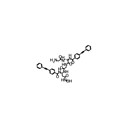 NCC(=O)NC[C@H](NC(=O)c1ccc(C#Cc2ccccc2)cc1)C(=O)NCC(=O)NC(CC(=O)NO)NC(=O)c1ccc(C#Cc2ccccc2)cc1